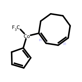 F[C](F)(F)[Co]([C]1=CC=CC1)/[C]1=C/C=C\CCCC1